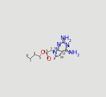 CCCCOC(=O)Cn1ccc2c(N)nc(N)nc21